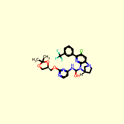 CC1(C)OC[C@H](COc2nccc(NC(O)N3c4nc(-c5cccc(C(F)(F)F)c5)c(Cl)cc4N4CC[C@H]3C4)n2)O1